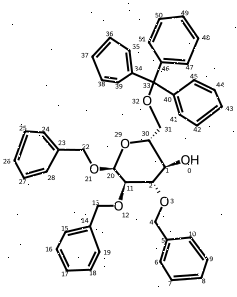 O[C@H]1[C@H](OCc2ccccc2)[C@@H](OCc2ccccc2)[C@@H](OCc2ccccc2)O[C@@H]1COC(c1ccccc1)(c1ccccc1)c1ccccc1